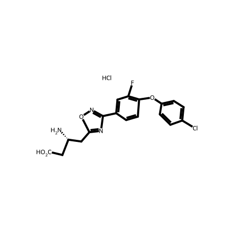 Cl.N[C@@H](CC(=O)O)Cc1nc(-c2ccc(Oc3ccc(Cl)cc3)c(F)c2)no1